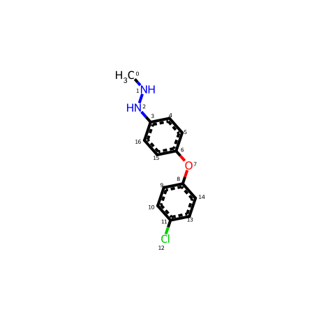 CNNc1ccc(Oc2ccc(Cl)cc2)cc1